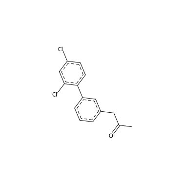 CC(=O)Cc1cccc(-c2ccc(Cl)cc2Cl)c1